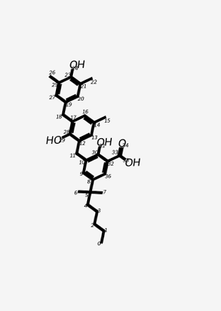 CCCCCC(C)(C)c1cc(Cc2cc(C)cc(Cc3cc(C)c(O)c(C)c3)c2O)c(O)c(C(=O)O)c1